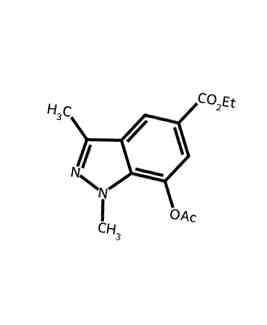 CCOC(=O)c1cc(OC(C)=O)c2c(c1)c(C)nn2C